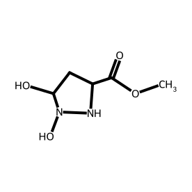 COC(=O)C1CC(O)N(O)N1